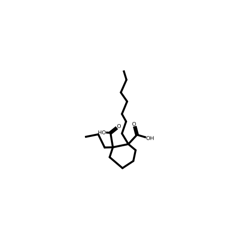 CCCCCCCC1(C(=O)O)CCCCC1(CCC)C(=O)O